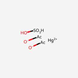 CC(=O)[O-].CC(=O)[O-].O=S(=O)(O)O.[Hg+2]